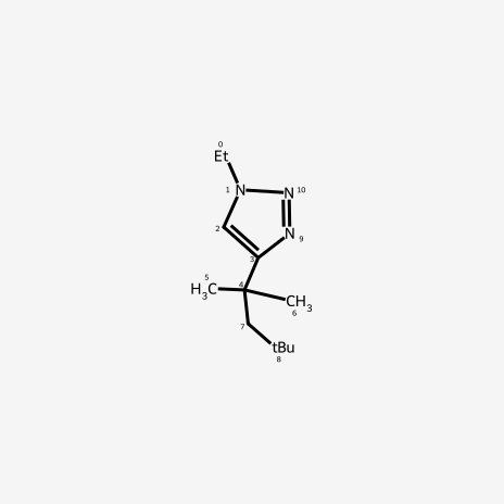 CCn1cc(C(C)(C)CC(C)(C)C)nn1